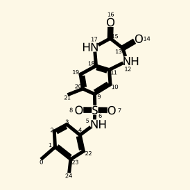 Cc1ccc(NS(=O)(=O)c2cc3[nH]c(=O)c(=O)[nH]c3cc2C)cc1C